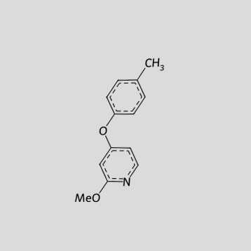 COc1cc(Oc2ccc(C)cc2)ccn1